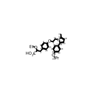 CCOC(Cc1ccc(OCCn2c(C)ccc2-c2ccc(OC(C)C)cc2)cc1)C(=O)O